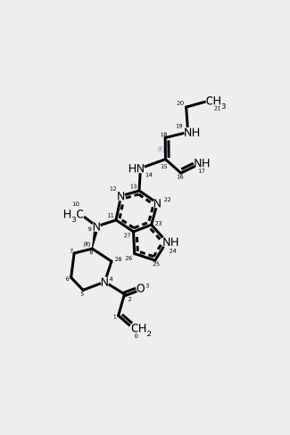 C=CC(=O)N1CCC[C@@H](N(C)c2nc(N/C(C=N)=C/NCC)nc3[nH]ccc23)C1